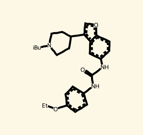 CCOc1ccc(NC(=O)Nc2ccc3occ(C4CCN(C(C)CC)CC4)c3c2)cc1